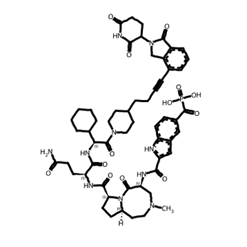 CN1CC[C@H]2CC[C@@H](C(=O)N[C@@H](CCC(N)=O)C(=O)N[C@H](C(=O)N3CCC(CCC#Cc4cccc5c4CN(C4CCC(=O)NC4=O)C5=O)CC3)C3CCCCC3)N2C(=O)[C@@H](NC(=O)c2cc3cc(C(=O)P(=O)(O)O)ccc3[nH]2)C1